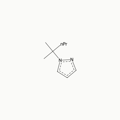 CCCC(C)(C)n1cccn1